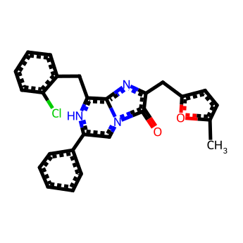 Cc1ccc(Cc2nc3c(Cc4ccccc4Cl)[nH]c(-c4ccccc4)cn-3c2=O)o1